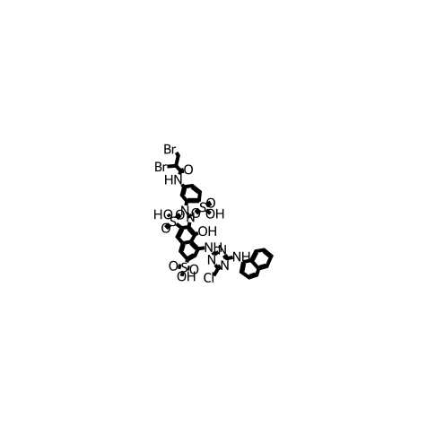 O=C(Nc1ccc(S(=O)(=O)O)c(/N=N/c2c(S(=O)(=O)O)cc3cc(S(=O)(=O)O)cc(Nc4nc(Cl)nc(Nc5cccc6ccccc56)n4)c3c2O)c1)C(Br)CBr